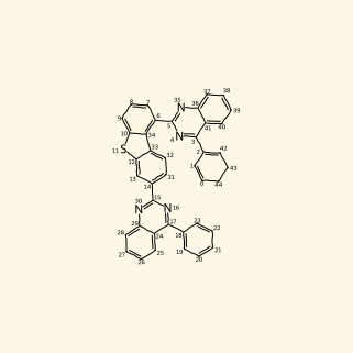 C1=CC(c2nc(-c3cccc4sc5cc(-c6nc(-c7ccccc7)c7ccccc7n6)ccc5c34)nc3ccccc23)=CCC1